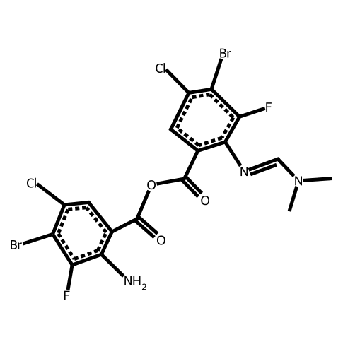 CN(C)/C=N/c1c(C(=O)OC(=O)c2cc(Cl)c(Br)c(F)c2N)cc(Cl)c(Br)c1F